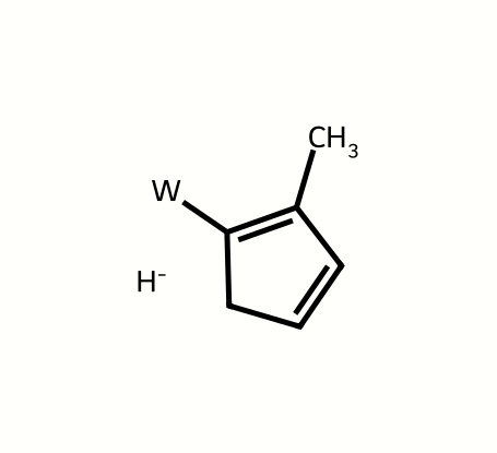 CC1=[C]([W])CC=C1.[H-]